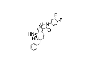 Cn1cc2c(c1C(=O)Nc1ccc(F)c(F)c1)C=CC(Cc1ccccc1)NS2=N